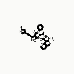 CC(NC(=O)c1c(N)ncc2cccnc12)c1nc2onc(C#Cc3cnn(C)c3)c2c(=O)n1-c1ccccc1